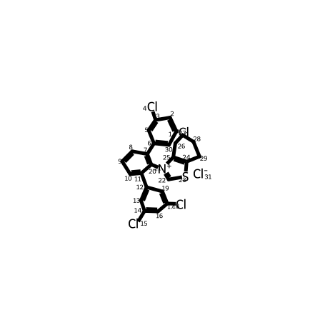 Clc1cc(Cl)cc(-c2cccc(-c3cc(Cl)cc(Cl)c3)c2-[n+]2csc3c2CCCC3)c1.[Cl-]